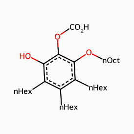 CCCCCCCCOc1c(CCCCCC)c(CCCCCC)c(CCCCCC)c(O)c1OC(=O)O